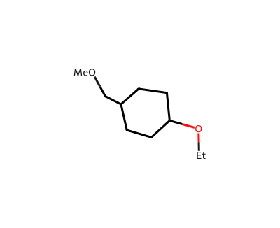 CCOC1CCC(COC)CC1